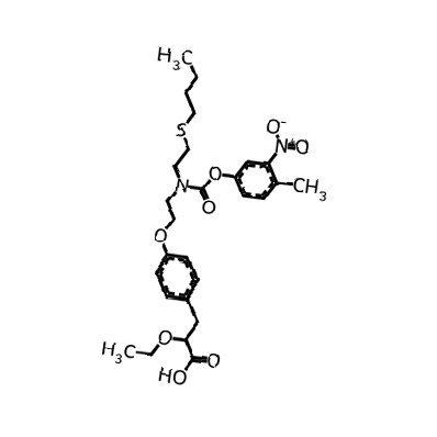 CCCCSCCN(CCOc1ccc(CC(OCC)C(=O)O)cc1)C(=O)Oc1ccc(C)c([N+](=O)[O-])c1